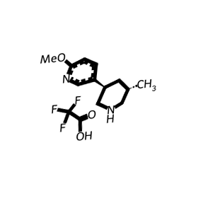 COc1ccc([C@@H]2CNC[C@@H](C)C2)cn1.O=C(O)C(F)(F)F